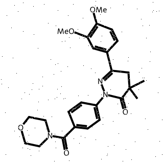 COc1ccc(C2=NN(c3ccc(C(=O)N4CCOCC4)cc3)C(=O)C(C)(C)C2)cc1OC